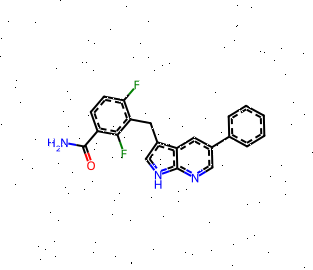 NC(=O)c1ccc(F)c(Cc2c[nH]c3ncc(-c4ccccc4)cc23)c1F